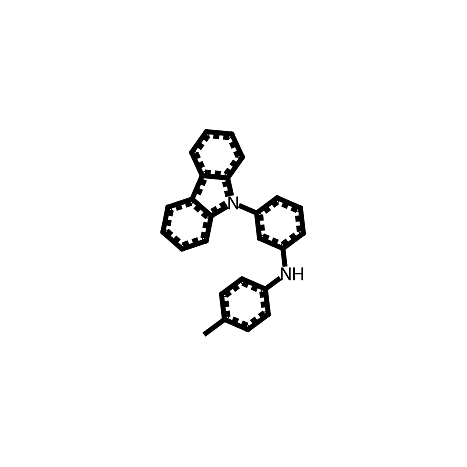 Cc1ccc(Nc2cccc(-n3c4ccccc4c4ccccc43)c2)cc1